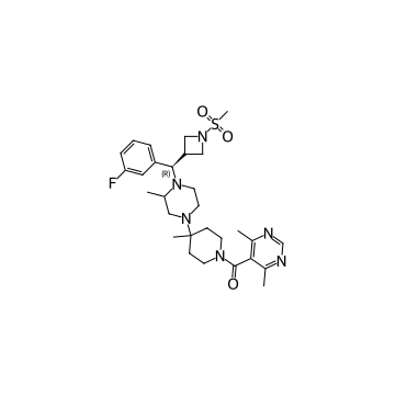 Cc1ncnc(C)c1C(=O)N1CCC(C)(N2CCN([C@@H](c3cccc(F)c3)C3CN(S(C)(=O)=O)C3)C(C)C2)CC1